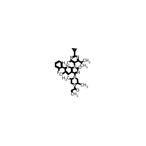 C=CC(=O)N1CC(C)N(c2nc(=O)n(-c3c(C)nc(C4CC4)nc3C(C)C)c3nc(-c4ccccc4F)c(Cl)cc23)CC1C